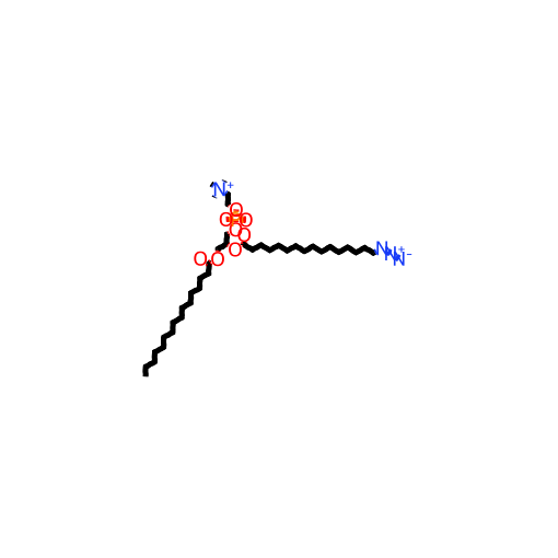 CCCCCCCCCCCCCCCC(=O)OCC(COP(=O)([O-])OCC[N+](C)(C)C)OC(=O)CCCCCCCCCCCCCCCN=[N+]=[N-]